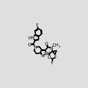 CN(C(=O)c1[nH]nc2c1CN(C(=O)c1cc3ccc(F)cc3[nH]1)CC2)C1(COC(F)F)CC1